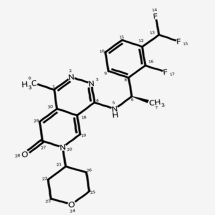 Cc1nnc(N[C@H](C)c2cccc(C(F)F)c2F)c2cn(C3CCOCC3)c(=O)cc12